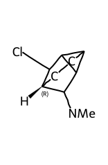 CNC1C2C3CC[C@H]1C(Cl)C32